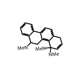 CNC1Cc2c(ccc3c2C(NC)(NC)C=CC3)-c2ccccc21